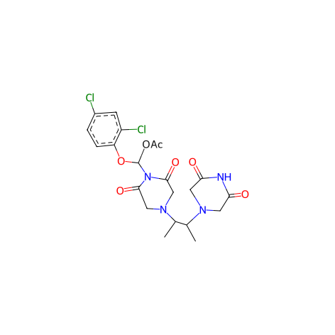 CC(=O)OC(Oc1ccc(Cl)cc1Cl)N1C(=O)CN(C(C)C(C)N2CC(=O)NC(=O)C2)CC1=O